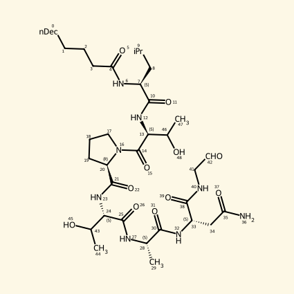 CCCCCCCCCCCCCC(=O)N[C@@H](CC(C)C)C(=O)N[C@H](C(=O)N1CCC[C@@H]1C(=O)N[C@H](C(=O)N[C@@H](C)C(=O)N[C@@H](CC(N)=O)C(=O)NCC=O)C(C)O)C(C)O